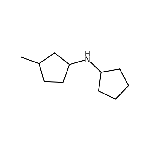 CC1CCC(NC2CCCC2)C1